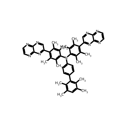 Cc1cc(C)c(C)c(-c2ccc(N(c3c(C)c(C)c(-c4cnc5nccnc5n4)c(C)c3C)c3c(C)c(C)c(-c4cnc5nccnc5n4)c(C)c3C)cc2)c1C